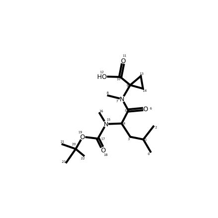 CC(C)CC(C(=O)N(C)C1(C(=O)O)CC1)N(C)C(=O)OC(C)(C)C